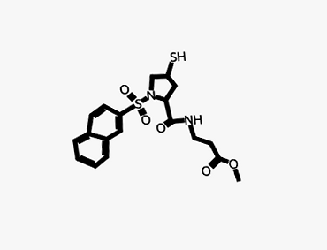 COC(=O)CCNC(=O)C1CC(S)CN1S(=O)(=O)c1ccc2ccccc2c1